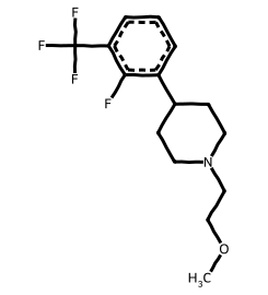 COCCN1CCC(c2cccc(C(F)(F)F)c2F)CC1